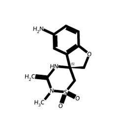 C=C1N[C@@]2(COc3ccc(N)cc32)CS(=O)(=O)N1C